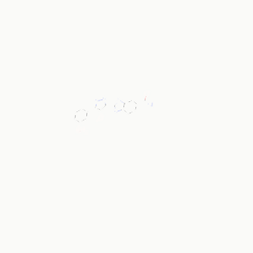 Bc1cccc(-c2nn(C)c(-c3nc4ccc(C(N)=O)cc4[nH]3)c2OC)c1